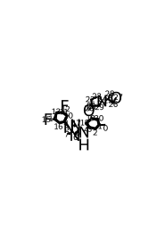 Cc1cc(Nc2ncn(-c3cc(F)cc(F)c3)n2)cc(O[C@H]2CCN(C3COC3)C2)c1